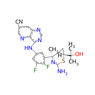 CC(C)(O)[C@]12C[C@H]1[C@](C)(c1cc(Nc3ncnc4cc(C#N)cnc34)cc(F)c1F)N=C(N)S2